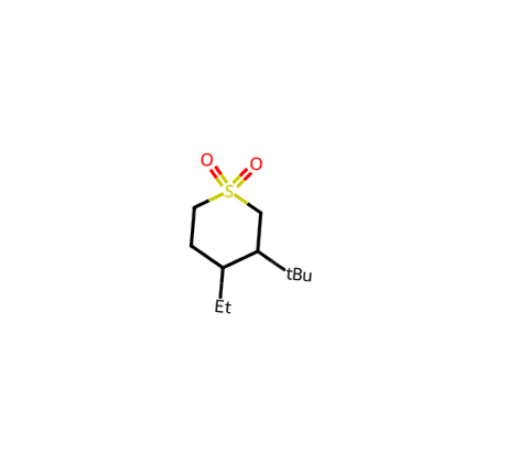 CCC1CCS(=O)(=O)CC1C(C)(C)C